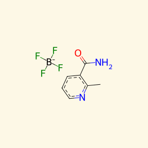 Cc1ncccc1C(N)=O.F[B-](F)(F)F